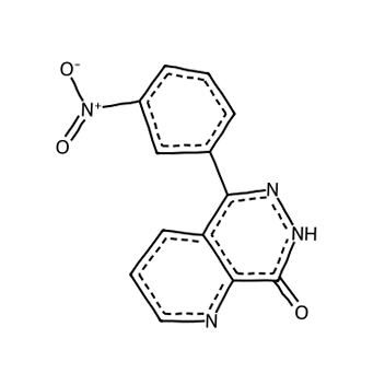 O=c1[nH]nc(-c2cccc([N+](=O)[O-])c2)c2cccnc12